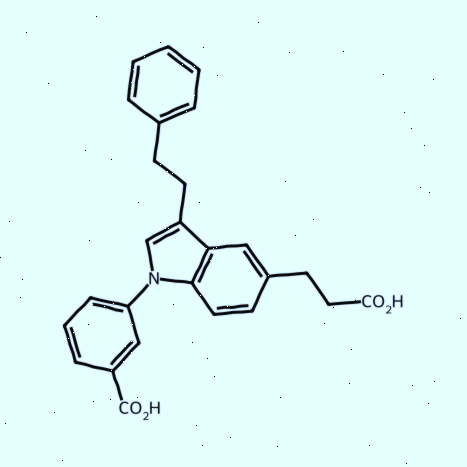 O=C(O)CCc1ccc2c(c1)c(CCc1ccccc1)cn2-c1cccc(C(=O)O)c1